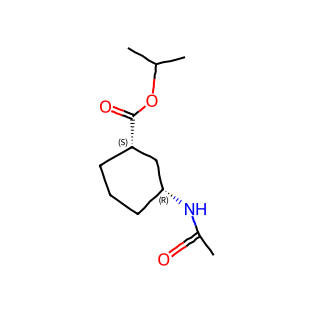 CC(=O)N[C@@H]1CCC[C@H](C(=O)OC(C)C)C1